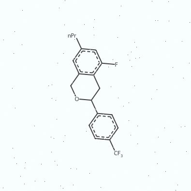 CCCc1cc(F)c2c(c1)COC(c1ccc(C(F)(F)F)cc1)C2